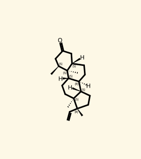 C=C[C@@]1(C)CC[C@H]2[C@@H]3CC[C@H]4CC(=O)C[C@H](C)[C@]4(C)[C@H]3CC[C@@]21C